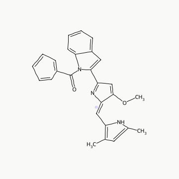 COC1=CC(c2cc3ccccc3n2C(=O)c2ccccc2)=N/C1=C/c1[nH]c(C)cc1C